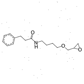 O=C(CCc1ccccc1)NCCCCOCC1CO1